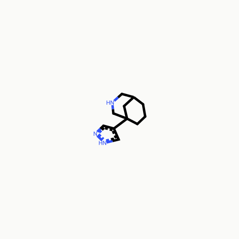 c1n[nH]cc1C12CCCC(CNC1)C2